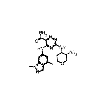 Cc1cc(Nc2nc(N[C@@H]3CCOC[C@@H]3N)nnc2C(N)=O)cc2c1cnn2C